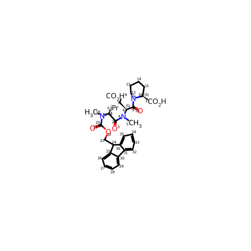 CC(C)[C@@H](C(=O)N(C)[C@@H](CC(=O)O)C(=O)N1CCCC[C@H]1C(=O)O)N(C)C(=O)OCC1c2ccccc2-c2ccccc21